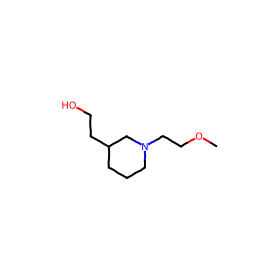 COCCN1CCCC(CCO)C1